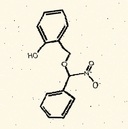 O=[N+]([O-])C(OCc1ccccc1O)c1ccccc1